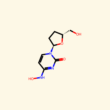 O=c1nc(NO)ccn1[C@H]1CC[C@H](CO)O1